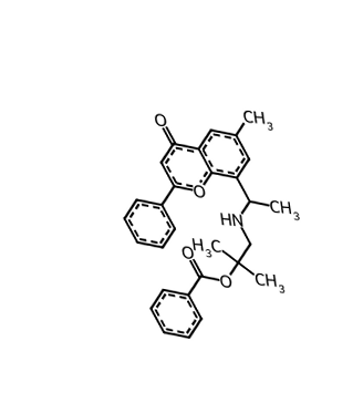 Cc1cc(C(C)NCC(C)(C)OC(=O)c2ccccc2)c2oc(-c3ccccc3)cc(=O)c2c1